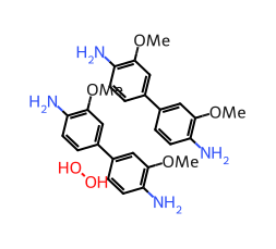 COc1cc(-c2ccc(N)c(OC)c2)ccc1N.COc1cc(-c2ccc(N)c(OC)c2)ccc1N.OO